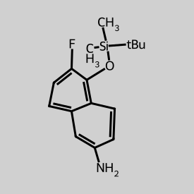 CC(C)(C)[Si](C)(C)Oc1c(F)ccc2cc(N)ccc12